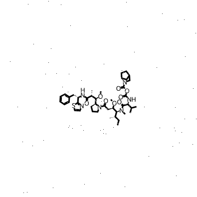 CC[C@H](C)[C@@H]([C@@H](CC(=O)N1CCC[C@H]1[C@H](OC)[C@@H](C)C(=O)N[C@@H](Cc1ccccc1)c1nccs1)OC)N(C)C(=O)[C@@H](NC(=O)OC(=O)N1CC2CCC1C2)C(C)C